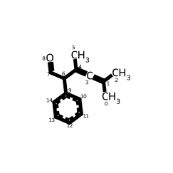 CC(C)=C=C(C)C(C=O)c1ccccc1